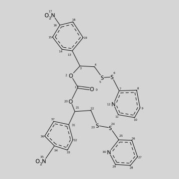 O=C(OC(CSSc1ccccn1)c1ccc([N+](=O)[O-])cc1)OC(CSSc1ccccn1)c1ccc([N+](=O)[O-])cc1